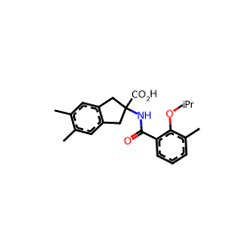 Cc1cc2c(cc1C)CC(NC(=O)c1cccc(C)c1OC(C)C)(C(=O)O)C2